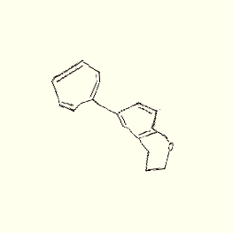 [c]1cc(-c2ccccc2)cc2c1OCC2